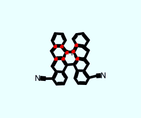 N#Cc1cccc2c(-c3c(P(c4ccccc4)c4ccccc4)ccc4c(C#N)cccc34)c(P(c3ccccc3)c3ccccc3)ccc12